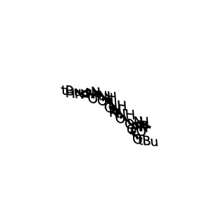 C=C1C[C@H]2C=Nc3cc(OCCCC(=O)Nc4cn(C)c(C(=O)Nc5cc(C(=O)Nc6cc(C(=O)n7ccc8cc(NC(C)(C)C)ccc87)n(C)c6)n(C)c5)n4)c(OC(C)(C)CCOC(C)(C)C)cc3C(=O)N2C1